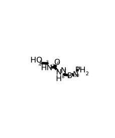 O=C(NCCO)NN=C/B=N/P